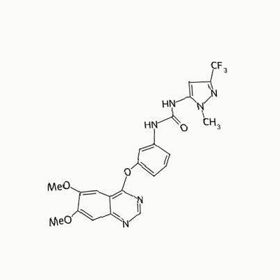 COc1cc2ncnc(Oc3cccc(NC(=O)Nc4cc(C(F)(F)F)nn4C)c3)c2cc1OC